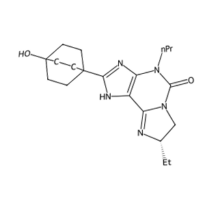 CCCN1C(=O)N2C[C@H](CC)N=C2c2[nH]c(C34CCC(O)(CC3)CC4)nc21